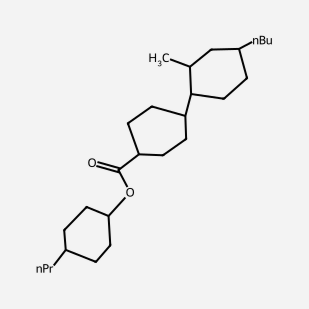 CCCCC1CCC(C2CCC(C(=O)OC3CCC(CCC)CC3)CC2)C(C)C1